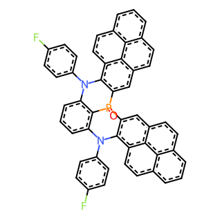 O=P12c3cc4ccc5cccc6ccc(c3N(c3ccc(F)cc3)c3cccc(c31)N(c1ccc(F)cc1)c1c2cc2ccc3cccc7ccc1c2c37)c4c56